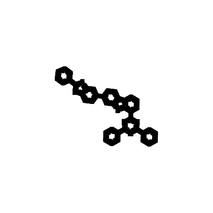 c1ccc(-c2nc(-c3ccccc3)nc(-c3cccc4c3sc3cc(-c5ccc6nc(-c7ccccc7)sc6c5)ccc34)n2)cc1